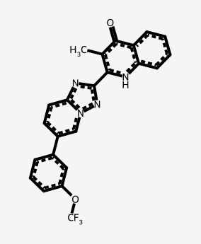 Cc1c(-c2nc3ccc(-c4cccc(OC(F)(F)F)c4)cn3n2)[nH]c2ccccc2c1=O